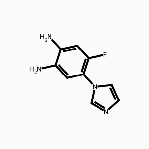 Nc1cc(F)c(-n2ccnc2)cc1N